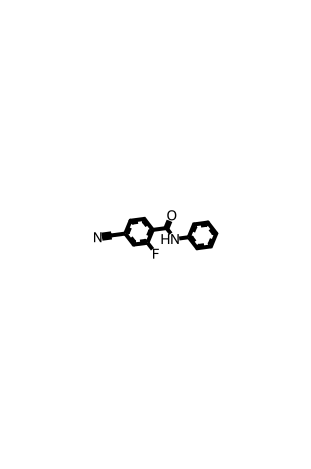 N#Cc1ccc(C(=O)Nc2ccccc2)c(F)c1